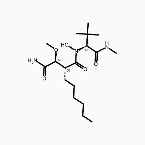 CCCCCC[C@@H](C(=O)N(O)[C@H](C(=O)NC)C(C)(C)C)[C@H](OC)C(N)=O